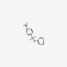 CN(C)c1ccc(C(C)(C)Sc2ccccc2)cc1